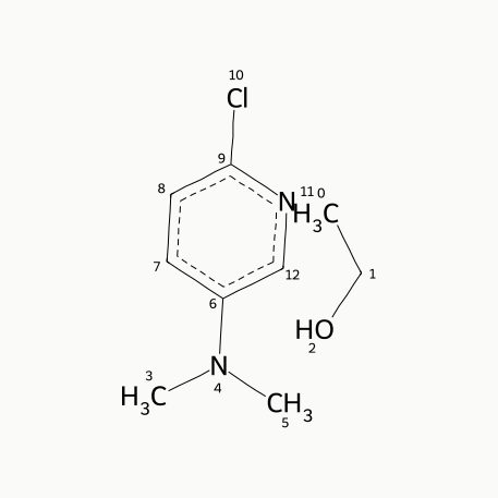 CCO.CN(C)c1ccc(Cl)nc1